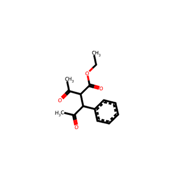 CCOC(=O)C(C(C)=O)C(C(C)=O)c1ccccc1